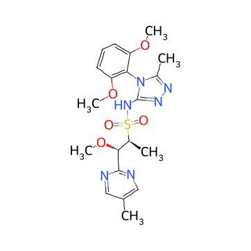 COc1cccc(OC)c1-n1c(C)nnc1NS(=O)(=O)[C@@H](C)[C@H](OC)c1ncc(C)cn1